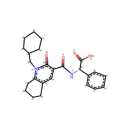 O=C(N[C@H](C(=O)O)c1ccccc1)c1cc2c(n(CC3CCCCC3)c1=O)CCCC2